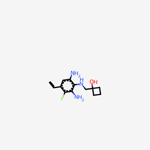 C=Cc1cc(N)c(NCC2(O)CCC2)c(N)c1F